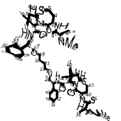 C=C(N[C@H]1CCS[C@H]2CC(C)(C)[C@@H](C(=O)N[C@H](COCCCCOC[C@@H](NC(=O)[C@H]3N4C(=O)[C@@H](NC(=S)[C@H](C)NC)CCS[C@H]4CC3(C)C)c3ccccc3)c3ccccc3)N2C1=O)[C@H](C)NC